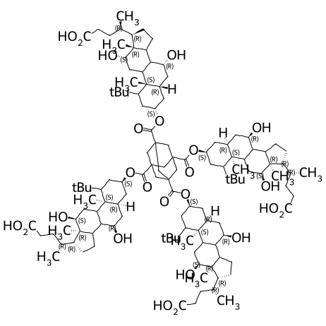 C[C@H](CCC(=O)O)[C@H]1CCC2C3C(C[C@H](O)[C@@]21C)[C@@]1(C)C(C(C)(C)C)C[C@@H](OC(=O)C24CC5(C(=O)O[C@@H]6CC(C(C)(C)C)[C@]7(C)C8C[C@H](O)[C@@]9(C)C(CC[C@@H]9[C@H](C)CCC(=O)O)C8[C@H](O)C[C@@H]7C6)CC(C(=O)O[C@@H]6CC(C(C)(C)C)[C@]7(C)C8C[C@H](O)[C@@]9(C)C(CC[C@@H]9[C@H](C)CCC(=O)O)C8[C@H](O)C[C@@H]7C6)(C2)CC(C(=O)O[C@@H]2CC(C(C)(C)C)[C@]6(C)C7C[C@H](O)[C@@]8(C)C(CC[C@@H]8[C@H](C)CCC(=O)O)C7[C@H](O)C[C@@H]6C2)(C4)C5)C[C@H]1C[C@H]3O